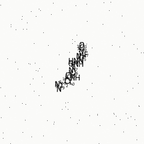 Cc1cc(-c2cncnc2)cc(Cl)c1Nc1ccc(C(=O)NNc2ncc(F)c(N3CCOCC3)n2)nc1